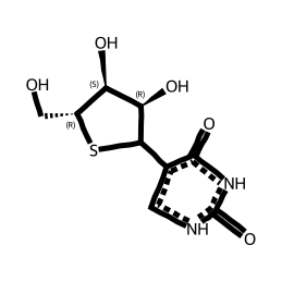 O=c1[nH]cc(C2S[C@H](CO)[C@@H](O)[C@H]2O)c(=O)[nH]1